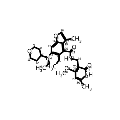 CCc1c(N(CC)C2CCOCC2)cc2occ(C)c2c1C(=O)NCc1c(OC)cc(C)[nH]c1=O